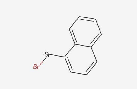 Br[Si]c1cccc2ccccc12